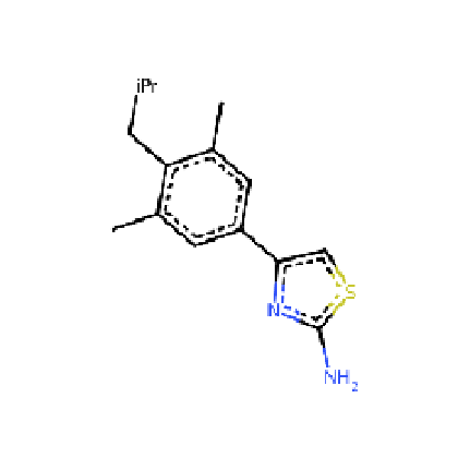 Cc1cc(-c2csc(N)n2)cc(C)c1CC(C)C